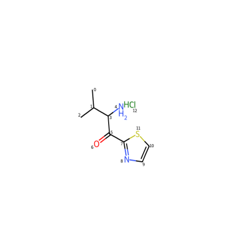 CC(C)C(N)C(=O)c1nccs1.Cl